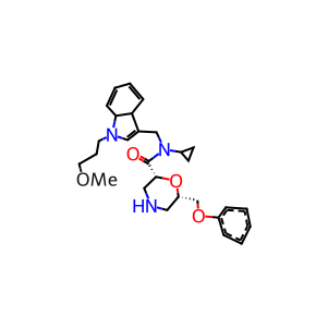 COCCCN1C=C(CN(C(=O)[C@H]2CNC[C@@H](COc3ccccc3)O2)C2CC2)C2C=CC=CC21